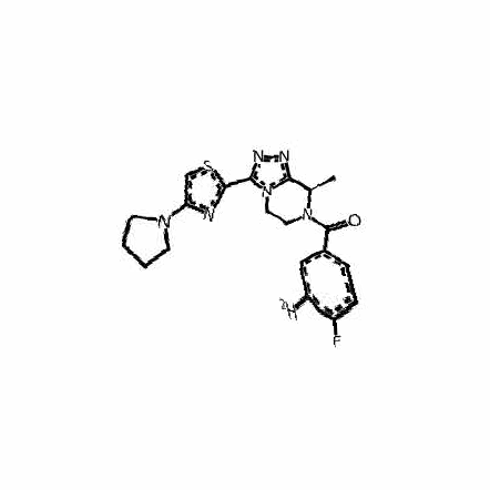 [2H]c1cc(C(=O)N2CCn3c(-c4nc(N5CCCC5)cs4)nnc3[C@H]2C)ccc1F